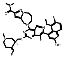 CCc1c(F)ccc2cc(O)cc(-c3ncc4c(N5CCCn6nc(C(=O)N(C)C)cc6C5)nc(OC[C@]5(C)CN(C)CC/C5=C\F)nc4c3F)c12